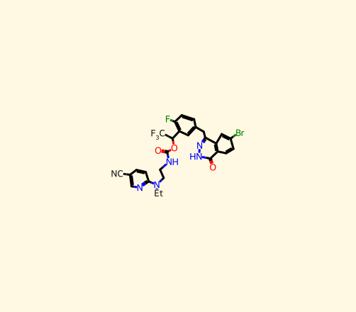 CCN(CCNC(=O)OC(c1cc(Cc2n[nH]c(=O)c3ccc(Br)cc23)ccc1F)C(F)(F)F)c1ccc(C#N)cn1